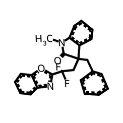 CN1C(=O)C(Cc2ccccc2)(CC(F)(F)c2nc3ccccc3o2)c2ccccc21